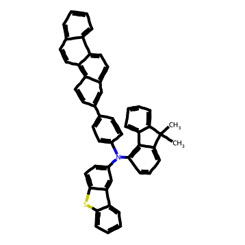 CC1(C)c2ccccc2-c2c(N(c3ccc(-c4ccc5c(ccc6c7ccccc7ccc56)c4)cc3)c3ccc4sc5ccccc5c4c3)cccc21